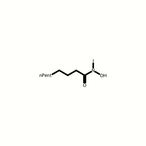 CCCCCCCCC(=O)N(O)I